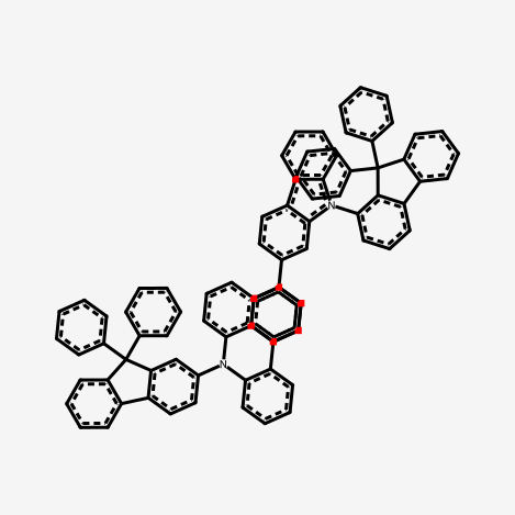 c1ccc(C2(c3ccccc3)c3ccccc3-c3ccc(N(c4ccccc4-c4ccc(-c5ccc6c7ccccc7n(-c7cccc8c7C(c7ccccc7)(c7ccccc7)c7ccccc7-8)c6c5)cc4)c4cccc5ccccc45)cc32)cc1